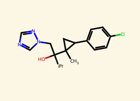 CC(C)C(O)(Cn1cncn1)C1(C)CC1c1ccc(Cl)cc1